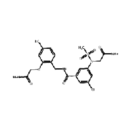 CNC(=O)COc1cc(C#N)ccc1CNC(=O)c1cc(Cl)cc(N(CC(=O)NC)S(C)(=O)=O)c1